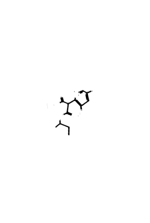 CCC(C)OC(=O)C(C(=O)O)c1ncc(Cl)cc1Cl